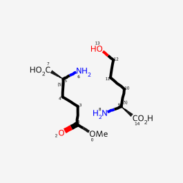 COC(=O)CC[C@H](N)C(=O)O.N[C@@H](CCCO)C(=O)O